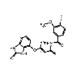 C=C(/C=C(\CCC)Oc1ccnc2[nH]c(=O)[nH]c12)NC(=O)c1ccc(F)c(OC(F)(F)F)c1